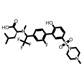 CC(C)C[C@@H](C(=O)O)N(C)C(c1ccc(-c2cc(S(=O)(=O)N3CCN(C)CC3)ccc2O)c(F)c1)C(F)(F)F